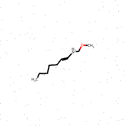 CCCCCC=C[SiH2]COC